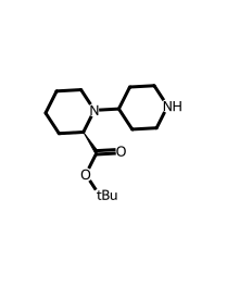 CC(C)(C)OC(=O)[C@H]1CCCCN1C1CCNCC1